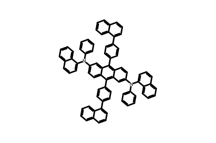 c1ccc(N(c2ccc3c(-c4ccc(-c5cccc6ccccc56)cc4)c4cc(N(c5ccccc5)c5cccc6ccccc56)ccc4c(-c4ccc(-c5cccc6ccccc56)cc4)c3c2)c2cccc3ccccc23)cc1